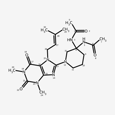 CC(=O)NC1(NC(C)=O)CCCN(c2nc3c(c(=O)n(C)c(=O)n3C)n2CC=C(C)C)C1